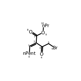 CCCCC/C=C(\C(=O)CBr)C(=O)OCCC